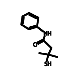 CC(C)(S)CC(=O)Nc1ccccc1